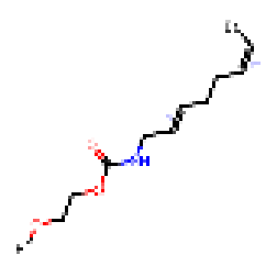 CC/C=C\CC/C=C/CNC(=O)OCCOCC